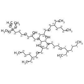 CCCCC(CC)COCCCN(CCN(CC(O)COCCC[Si](OC)(OC)OC)CC(O)COCC(CC)CCCC)CC(O)COCC(CC)CCCC